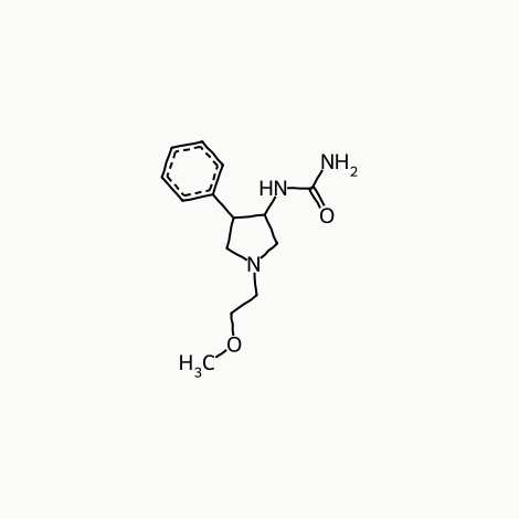 COCCN1CC(NC(N)=O)C(c2ccccc2)C1